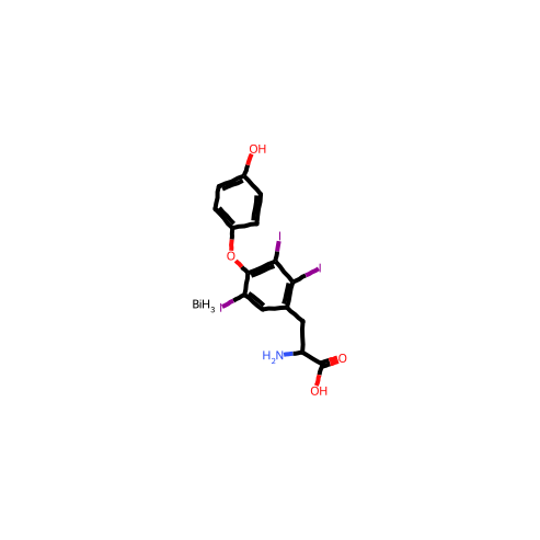 NC(Cc1cc(I)c(Oc2ccc(O)cc2)c(I)c1I)C(=O)O.[BiH3]